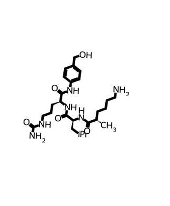 CC(C)C[C@H](NC(=O)[C@@H](C)CCCCN)C(=O)N[C@@H](CCCNC(N)=O)C(=O)Nc1ccc(CO)cc1